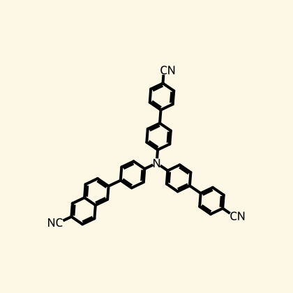 N#Cc1ccc(-c2ccc(N(c3ccc(-c4ccc(C#N)cc4)cc3)c3ccc(-c4ccc5cc(C#N)ccc5c4)cc3)cc2)cc1